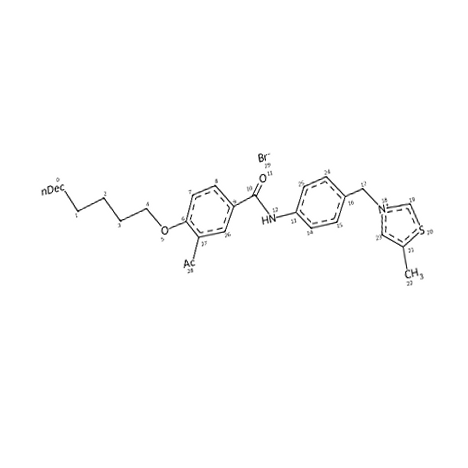 CCCCCCCCCCCCCCOc1ccc(C(=O)Nc2ccc(C[n+]3csc(C)c3)cc2)cc1C(C)=O.[Br-]